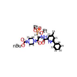 CCCCOC(=O)N1CCN(C(=O)[C@H](CP(=O)(OCC)OCC)NC(=O)c2cc(C)cc(-c3ccccc3)n2)CC1